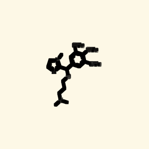 COc1cc(C(OCCCN(C)C)c2nccn2C)cc(OC)c1OC